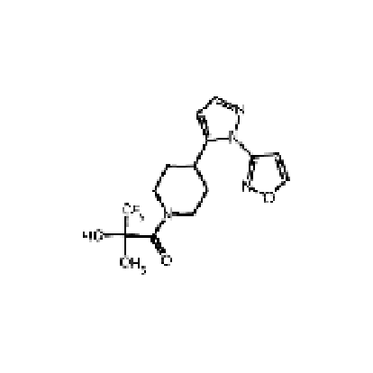 CC(O)(C(=O)N1CCC(c2ccnn2-c2ccon2)CC1)C(F)(F)F